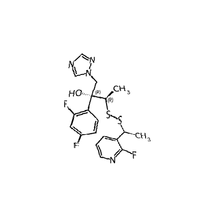 CC(SS[C@H](C)[C@](O)(Cn1cncn1)c1ccc(F)cc1F)c1cccnc1F